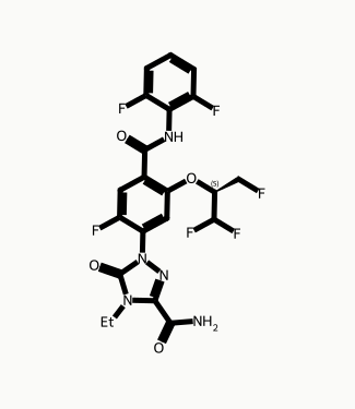 CCn1c(C(N)=O)nn(-c2cc(O[C@@H](CF)C(F)F)c(C(=O)Nc3c(F)cccc3F)cc2F)c1=O